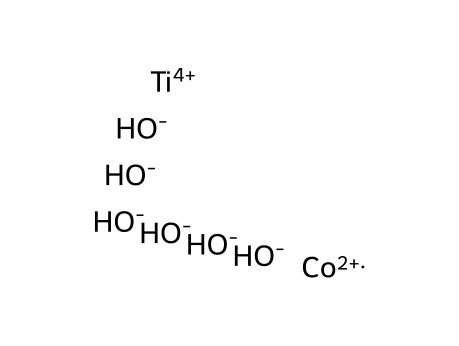 [Co+2].[OH-].[OH-].[OH-].[OH-].[OH-].[OH-].[Ti+4]